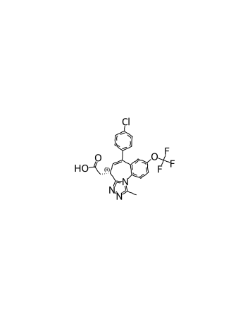 Cc1nnc2n1-c1ccc(OC(F)(F)F)cc1C(c1ccc(Cl)cc1)=C[C@H]2CC(=O)O